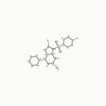 Cc1ccc(S(=O)(=O)n2c(C)cc3c(-c4ccccc4)nc(Cl)nc32)cc1